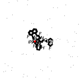 CC(C)[Si](C#Cc1c(F)ccc2cccc(-c3nc4c5c(cc(OC[C@@]67CCCN6C[C@H](F)C7)nc5c3F)N3C[C@H]5CC[C@H](N5)[C@H]3CO4)c12)(C(C)C)C(C)C